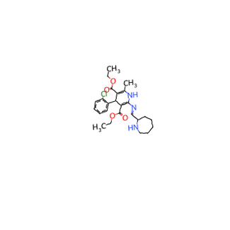 CCOC(=O)C1=C(C)NC(N=CC2CCCCCN2)=C(C(=O)OCC)C1c1ccccc1Cl